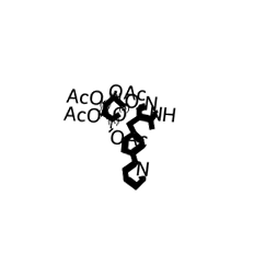 CC(=O)OC[C@H]1O[C@@H](Oc2n[nH]c(C)c2Cc2ccc(-c3ccccn3)cc2)[C@H](OC(C)=O)[C@@H](OC(C)=O)[C@@H]1OC(C)=O